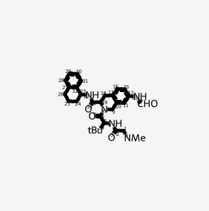 CNCC(=O)NC(C(=O)N1Cc2cc(NC=O)ccc2CC1C(=O)NC1CCCc2ccccc21)C(C)(C)C